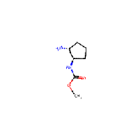 COC(=O)N[C@@H]1CCC[C@H]1N